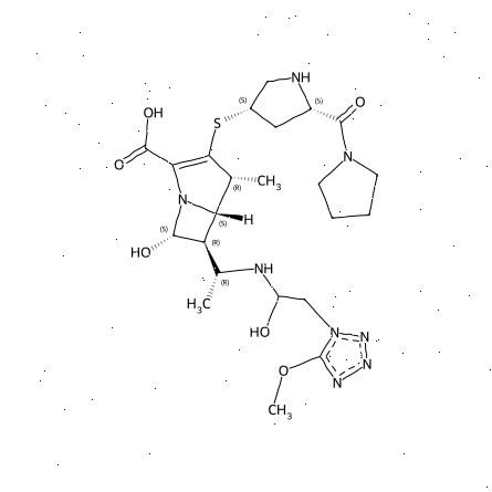 COc1nnnn1CC(O)N[C@H](C)[C@@H]1[C@H]2[C@@H](C)C(S[C@@H]3CN[C@H](C(=O)N4CCCC4)C3)=C(C(=O)O)N2[C@H]1O